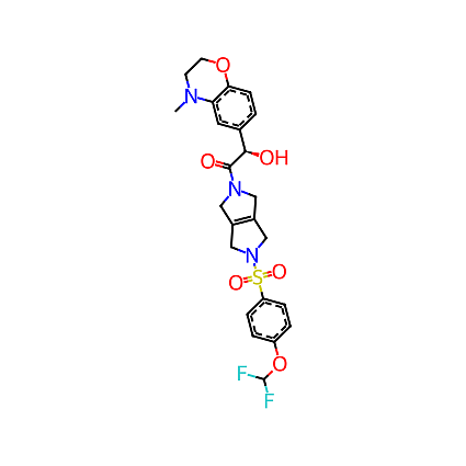 CN1CCOc2ccc([C@@H](O)C(=O)N3CC4=C(C3)CN(S(=O)(=O)c3ccc(OC(F)F)cc3)C4)cc21